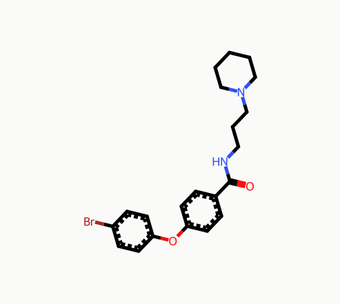 O=C(NCCCN1CCCCC1)c1ccc(Oc2ccc(Br)cc2)cc1